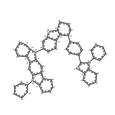 c1ccc(-n2c(-c3ccc(-c4cccc5oc6cc(-n7c8ccccc8c8cc9c(cc87)c7ccccc7n9-c7ccccc7)ccc6c45)cc3)nc3ccccc32)cc1